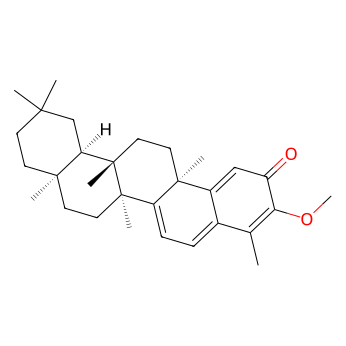 COC1=C(C)C2=CC=C3[C@@](C)(CC[C@@]4(C)[C@@H]5CC(C)(C)CC[C@]5(C)CC[C@]34C)C2=CC1=O